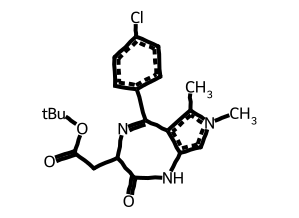 Cc1c2c(cn1C)NC(=O)C(CC(=O)OC(C)(C)C)N=C2c1ccc(Cl)cc1